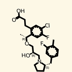 Cc1ccc(C[C@@H]2CCCN2C[C@@H](O)CO[C@H](C)c2cc(F)c(Cl)cc2CCC(=O)O)cc1F